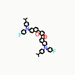 CC(C)c1ccc(N(c2ccc(F)cc2)c2ccc3c(ccc4c5ccc6oc7c8ccc(N(c9ccc(F)cc9)c9ccc(C(C)C)cc9)cc8ccc7c6c5oc34)c2)cc1